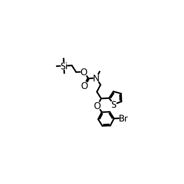 CN(CCC(Oc1cccc(Br)c1)c1cccs1)C(=O)OCC[Si](C)(C)C